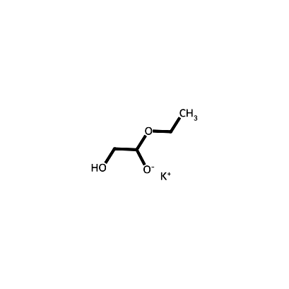 CCOC([O-])CO.[K+]